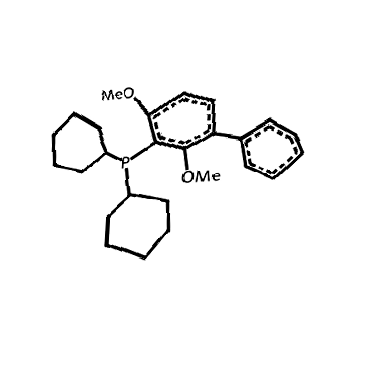 COc1ccc(-c2ccccc2)c(OC)c1P(C1CCCCC1)C1CCCCC1